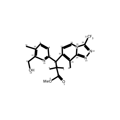 COC(=O)C(C)(C)C(c1ccc(C)c(CO)n1)c1ccn2c(C(F)(F)F)nnc2c1C